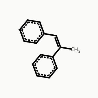 CC(=Cc1cc[c]cc1)c1ccccc1